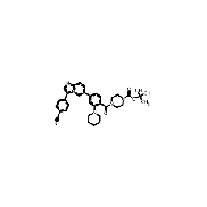 CC(C)(C)OC(=O)N1CCN(C(=O)c2ccc(-c3ccc4ncc(-c5ccc(C#N)cc5)n4c3)cc2N2CCCCC2)CC1